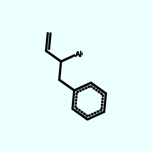 C=C[CH]([Al])Cc1ccccc1